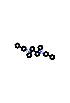 c1ccc(-c2ccc(-n3c4ccccc4c4c(-c5cccc6c5c5ccccc5n6-c5ccc(-c6ccccc6)cc5)cccc43)cc2)cc1